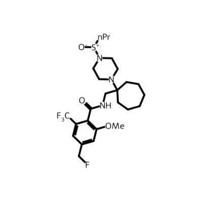 CCC[S+]([O-])N1CCN(C2(CNC(=O)c3c(OC)cc(CF)cc3C(F)(F)F)CCCCCC2)CC1